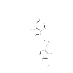 Cc1ncc2c(C3CC3c3ccc(C(=O)O)cc3Cl)nn(C)c2n1